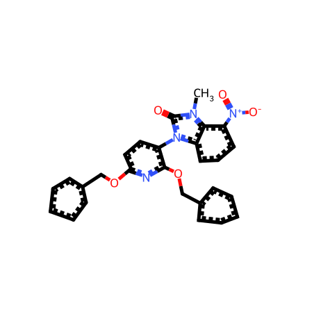 Cn1c(=O)n(-c2ccc(OCc3ccccc3)nc2OCc2ccccc2)c2cccc([N+](=O)[O-])c21